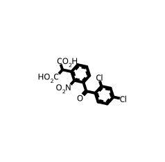 O=C(c1ccc(Cl)cc1Cl)c1cccc(C(C(=O)O)C(=O)O)c1[N+](=O)[O-]